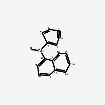 CN(c1cc#ccc1)c1cccc2ccccc12